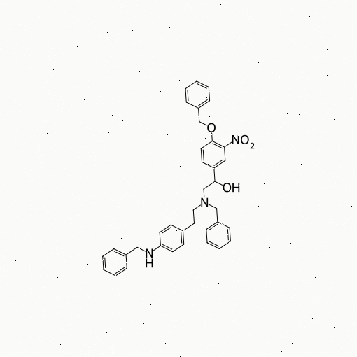 O=[N+]([O-])c1cc(C(O)CN(CCc2ccc(NCc3ccccc3)cc2)Cc2ccccc2)ccc1OCc1ccccc1